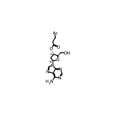 CC(=O)CCC(=O)O[C@H]1C[C@H](n2cnc3c(N)ncnc32)O[C@@H]1CO